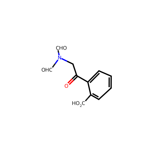 O=CN(C=O)CC(=O)c1ccccc1C(=O)O